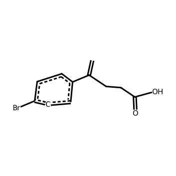 C=C(CCC(=O)O)c1ccc(Br)cc1